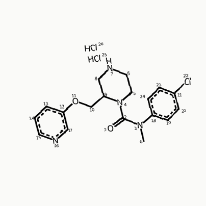 CN(C(=O)N1CCNCC1COc1cccnc1)c1ccc(Cl)cc1.Cl.Cl